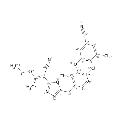 CCO/C(C)=C(\C#N)c1nnc(Cc2ccc(Cl)c(Oc3cc(Cl)cc(C#N)c3)c2F)o1